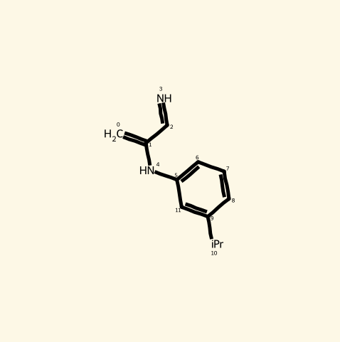 C=C(C=N)Nc1cccc(C(C)C)c1